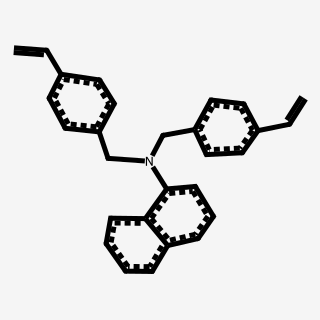 C=Cc1ccc(CN(Cc2ccc(C=C)cc2)c2cccc3ccccc23)cc1